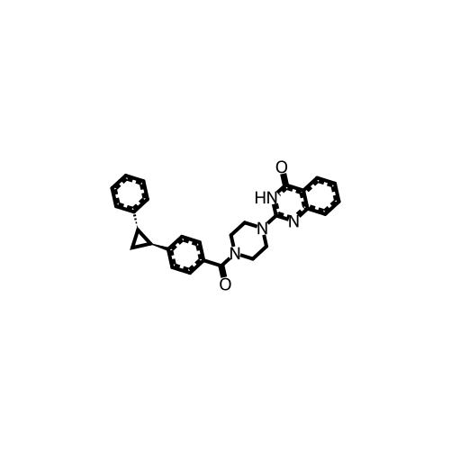 O=C(c1ccc([C@H]2C[C@@H]2c2ccccc2)cc1)N1CCN(c2nc3ccccc3c(=O)[nH]2)CC1